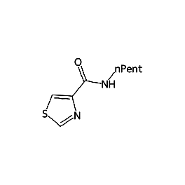 CCCCCNC(=O)c1cscn1